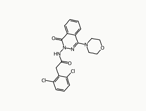 O=C(Cc1c(Cl)cccc1Cl)Nn1nc(N2CCOCC2)c2ccccc2c1=O